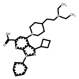 CCN(CC)CCC1CCN(c2cc(C(=O)O)nc3c2c(C2CCC2)nn3-c2ccccc2)CC1